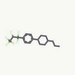 CCCC1CCC(c2ccc(C(F)(F)C(F)C(F)(F)F)cc2)CC1